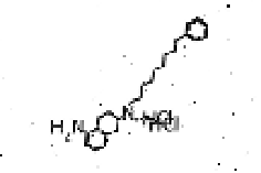 CCCN(CCCCCCCCCc1ccccc1)C1CCc2c(N)cccc2C1.Cl.Cl